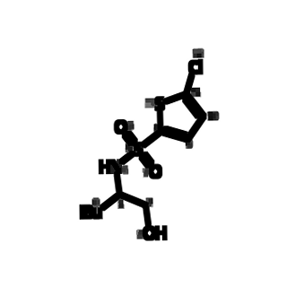 CCC(C)C(CO)NS(=O)(=O)c1ccc(Cl)s1